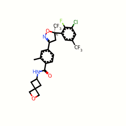 Cc1cc(C2=NO[C@](c3cc(C(F)(F)F)cc(Cl)c3F)(C(F)(F)F)C2)ccc1C(=O)NC1CC2(COC2)C1